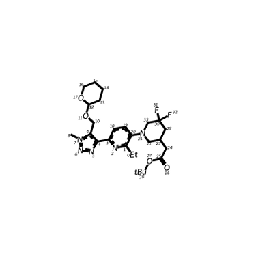 CCc1nc(-c2nnn(C)c2COC2CCCCO2)ccc1N1CC(CC(=O)OC(C)(C)C)CC(F)(F)C1